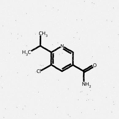 CC(C)c1ncc(C(N)=O)cc1Cl